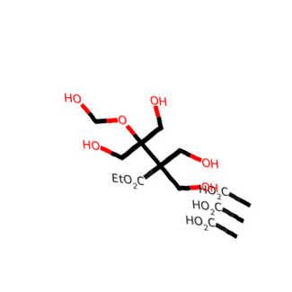 CC(=O)O.CC(=O)O.CC(=O)O.CCOC(=O)C(CO)(CO)C(CO)(CO)OCO